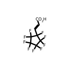 O=C(O)C=CC1(F)C(F)(F)C(F)(F)C(F)(F)C1(F)F